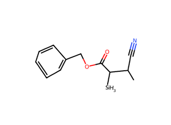 CC(C#N)C([SiH3])C(=O)OCc1ccccc1